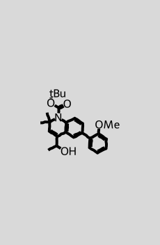 COc1ccccc1-c1ccc2c(c1)C(C(C)O)=CC(C)(C)N2C(=O)OC(C)(C)C